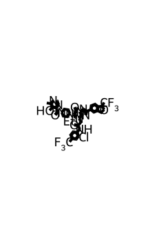 CCc1c(N2CCN(C(=O)c3ncnc(C)c3O)CC2)c(=O)n2nc(-c3ccc4c(c3)COC4C(F)(F)F)nc2n1CC(=O)Nc1ccc(C(F)(F)F)cc1Cl